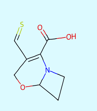 O=C(O)C1=C(C=S)COC2CCN12